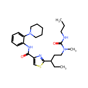 CCCNC(=O)N(C)CCC(CC)c1nc(C(=O)Nc2ccccc2N2CCCCC2)cs1